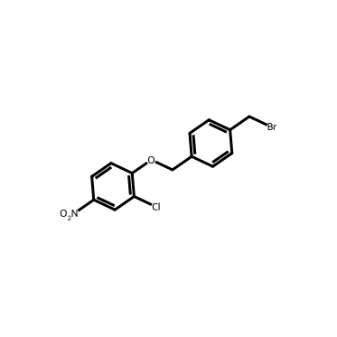 O=[N+]([O-])c1ccc(OCc2ccc(CBr)cc2)c(Cl)c1